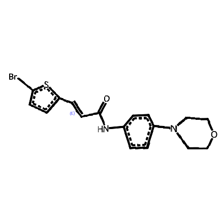 O=C(/C=C/c1ccc(Br)s1)Nc1ccc(N2CCOCC2)cc1